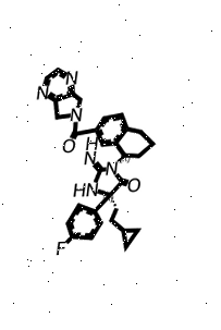 N=C1N[C@](CCC2CC2)(c2ccc(F)cc2)C(=O)N1[C@@H]1CCCc2ccc(C(=O)N3Cc4nccnc4C3)cc21